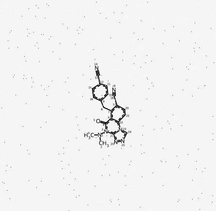 CN(C)n1c(=O)c2c(Cc3ccc(C#N)cc3)c(C#N)ccc2n2cnnc12